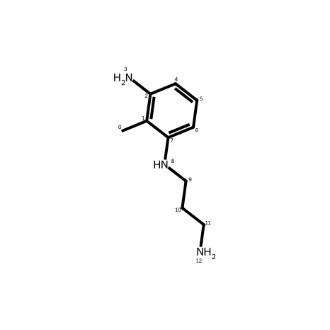 Cc1c(N)cccc1NCCCN